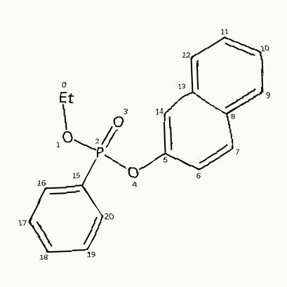 CCOP(=O)(Oc1ccc2ccccc2c1)c1ccccc1